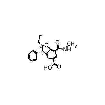 CNC(=O)c1cc(C(=O)O)cc2c1O[C@H](CF)[C@H]2c1ccccc1